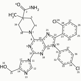 CC1(C(N)=O)CCN(c2nc(-n3cnc(CO)c3)nc3c2nc(-c2ccccc2Cl)n3-c2ccc(Cl)cc2)CC1